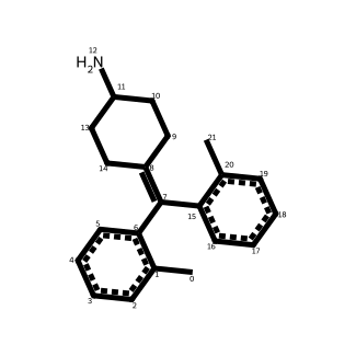 Cc1ccccc1C(=C1CCC(N)CC1)c1ccccc1C